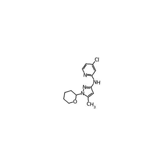 Cc1cc(Nc2cc(Cl)ccn2)nn1C1CCCCO1